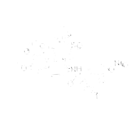 COc1cc2c(c(OC)c1OC)-c1ccc(SC)c(=O)cc1[C@@H](NC(=O)c1cc(F)cc(CON=O)c1)CC2